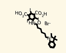 CC1=[N+](CCCCCC(=O)Nc2c(I)c(C(=O)O)c(I)c(C(=O)O)c2I)c2ccccc2C1(C)C.[Br-]